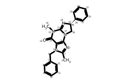 Cc1nc2c(n1Cc1ccccc1)C(=O)N(C)C1=N[C@H](c3ccccc3)CN12